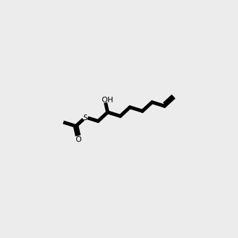 C=CCCCCC(O)CSC(C)=O